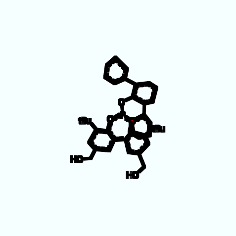 CC(C)(C)c1cc(CO)cc2c1op(Oc1c(-c3ccccc3)cccc1-c1ccccc1)oc1c(C(C)(C)C)cc(CO)cc12